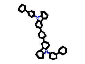 C1=C(C2=CC=C3C(C2)c2ccccc2N3C2=CCCC(c3ccccc3)=C2)CCC(c2ccc3c(c2)c2ccccc2n3-c2ccc(-c3ccccc3)cc2)C1